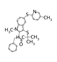 Cc1ccc(Sc2ccc3c(c2)c(SC(C)(C)C)c(C(C=O)Cc2ccccc2)n3C)nc1